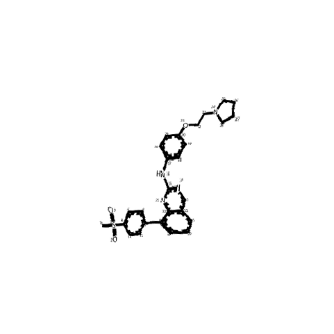 CS(=O)(=O)c1ccc(-c2cccc3cnc(Nc4ccc(OCCN5CCCC5)cc4)nc23)cc1